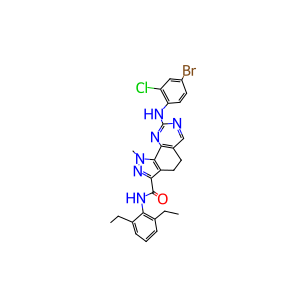 CCc1cccc(CC)c1NC(=O)c1nn(C)c2c1CCc1cnc(Nc3ccc(Br)cc3Cl)nc1-2